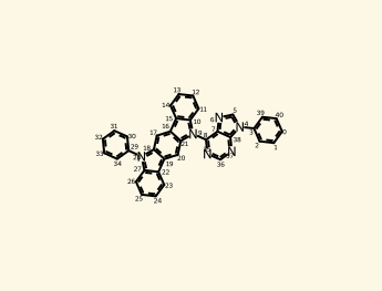 c1ccc(-n2cnc3c(-n4c5ccccc5c5cc6c(cc54)c4ccccc4n6-c4ccccc4)ncnc32)cc1